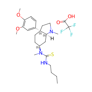 CCCCNC(=S)N(C)[C@H]1CC[C@@]2(c3ccc(OC)c(OC)c3)CCN(C)[C@H]2C1.O=C(O)C(F)(F)F